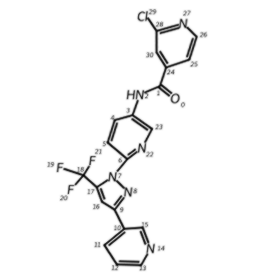 O=C(Nc1ccc(-n2nc(-c3cccnc3)cc2C(F)(F)F)nc1)c1ccnc(Cl)c1